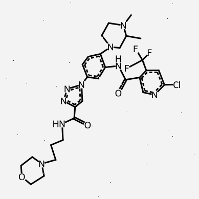 CC1CN(c2ccc(-n3cc(C(=O)NCCCN4CCOCC4)nn3)cc2NC(=O)c2cnc(Cl)cc2C(F)(F)F)CCN1C